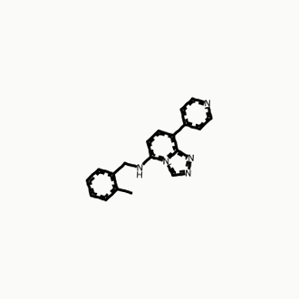 Cc1ccccc1CNc1ccc(-c2ccncc2)c2nncn12